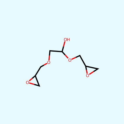 OC(COCC1CO1)OCC1CO1